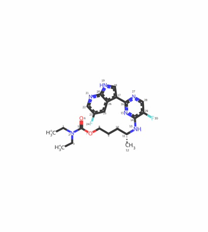 CCN(CC)C(=O)OCCC[C@@H](C)Nc1nc(-c2c[nH]c3ncc(F)cc23)ncc1F